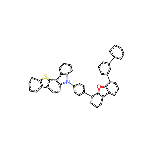 c1ccc(-c2cccc(-c3cccc4c3oc3c(-c5ccc(-n6c7ccccc7c7c8sc9ccccc9c8ccc76)cc5)cccc34)c2)cc1